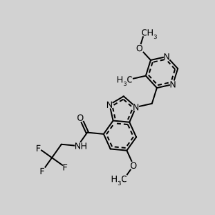 COc1cc(C(=O)NCC(F)(F)F)c2ncn(Cc3ncnc(OC)c3C)c2c1